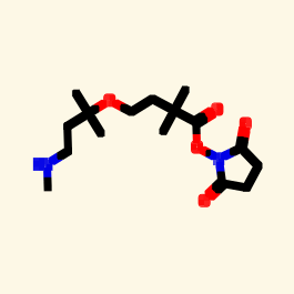 CNCCC(C)(C)OCCC(C)(C)C(=O)ON1C(=O)CCC1=O